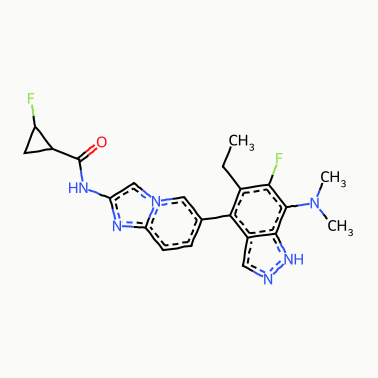 CCc1c(F)c(N(C)C)c2[nH]ncc2c1-c1ccc2nc(NC(=O)C3CC3F)cn2c1